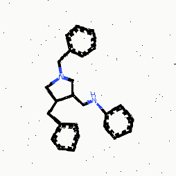 c1ccc(CC2CN(Cc3ccccc3)CC2CNc2ccccc2)cc1